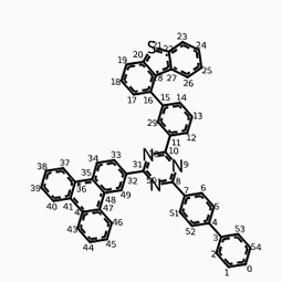 c1ccc(-c2ccc(-c3nc(-c4cccc(-c5cccc6sc7ccccc7c56)c4)nc(-c4ccc5c6ccccc6c6ccccc6c5c4)n3)cc2)cc1